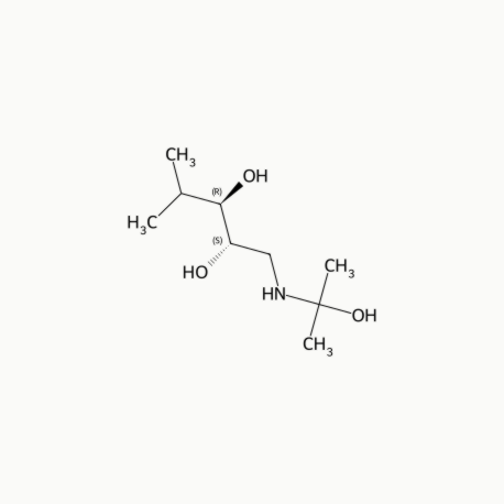 CC(C)[C@@H](O)[C@@H](O)CNC(C)(C)O